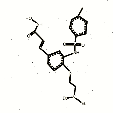 CCN(CC)CCSc1ccc(C=CC(=O)NO)cc1NS(=O)(=O)c1ccc(C)cc1